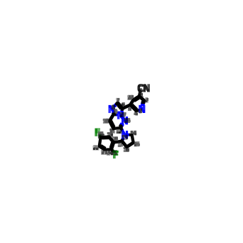 N#Cc1cncc(-c2cnc3ccc(N4CCCC4c4cc(F)ccc4F)nn23)c1